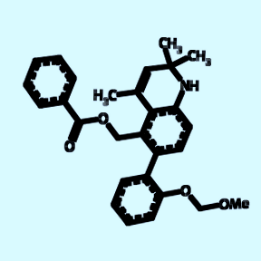 COCOc1ccccc1-c1ccc2c(c1COC(=O)c1ccccc1)C(C)=CC(C)(C)N2